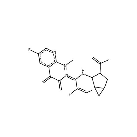 C=C(/N=C(NC1C(C(=C)C)CC2CC21)\C(F)=C/C)C(=C)c1cc(F)cnc1NC